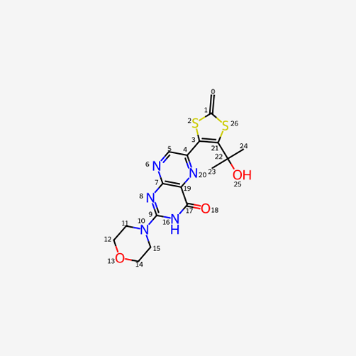 C=C1SC(c2cnc3nc(N4CCOCC4)[nH]c(=O)c3n2)=C(C(C)(C)O)S1